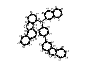 c1ccc2cc(N(c3ccc(-c4ccc5oc6ccccc6c5c4)cc3)c3cccc4oc5c6ccccc6ccc5c34)ccc2c1